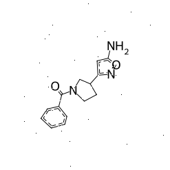 Nc1cc(C2CCN(C(=O)c3ccccc3)C2)no1